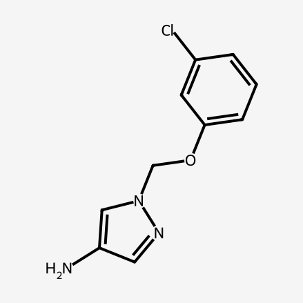 Nc1cnn(COc2cccc(Cl)c2)c1